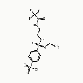 CCN=S(=O)(NCCNC(=O)C(F)(F)F)c1ccc(S(=O)(=O)Cl)cc1